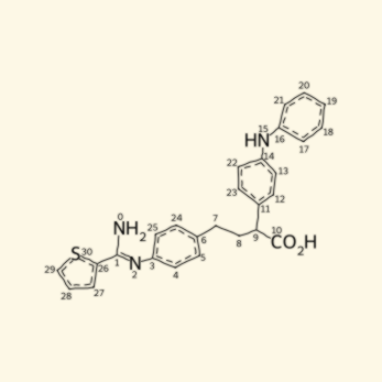 NC(=Nc1ccc(CCC(C(=O)O)c2ccc(Nc3ccccc3)cc2)cc1)c1cccs1